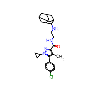 Cc1c(C(=O)NCCNC2C3CC4CC(C3)CC2C4)nn(C2CC2)c1-c1ccc(Cl)cc1